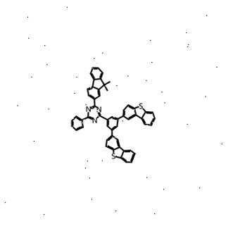 CC1(C)c2ccccc2-c2ccc(-c3nc(-c4ccccc4)nc(-c4cc(-c5ccc6sc7ccccc7c6c5)cc(-c5ccc6sc7ccccc7c6c5)c4)n3)cc21